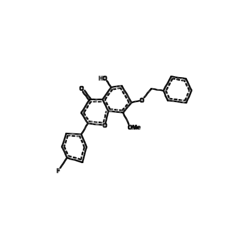 COc1c(OCc2ccccc2)cc(O)c2c(=O)cc(-c3ccc(F)cc3)oc12